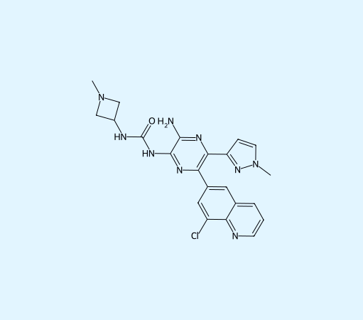 CN1CC(NC(=O)Nc2nc(-c3cc(Cl)c4ncccc4c3)c(-c3ccn(C)n3)nc2N)C1